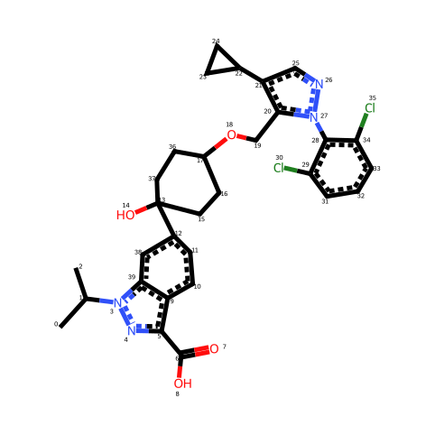 CC(C)n1nc(C(=O)O)c2ccc(C3(O)CCC(OCc4c(C5CC5)cnn4-c4c(Cl)cccc4Cl)CC3)cc21